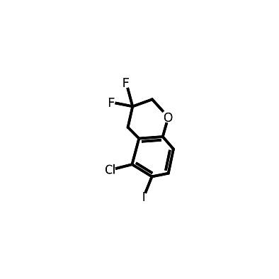 FC1(F)COc2ccc(I)c(Cl)c2C1